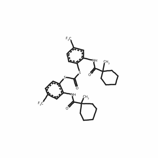 CC1(C(=O)Nc2cc(C(F)(F)F)ccc2SC(=O)Sc2ccc(C(F)(F)F)cc2NC(=O)C2(C)CCCCC2)CCCCC1